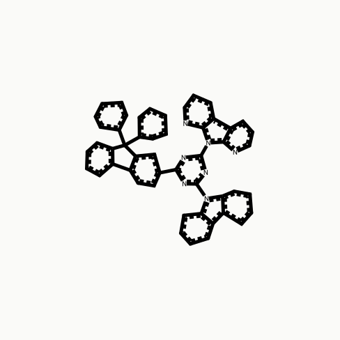 c1ccc(C2(c3ccccc3)c3ccccc3-c3ccc(-c4nc(-n5c6ccccc6c6ccccc65)nc(-n5c6ncccc6c6cccnc65)n4)cc32)cc1